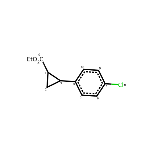 CCOC(=O)C1CC1c1ccc(Cl)cc1